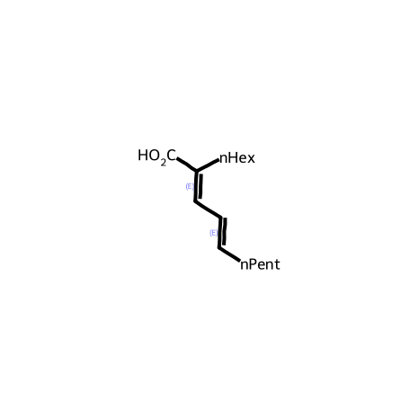 CCCCC/C=C/C=C(\CCCCCC)C(=O)O